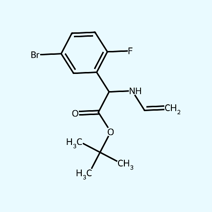 C=CNC(C(=O)OC(C)(C)C)c1cc(Br)ccc1F